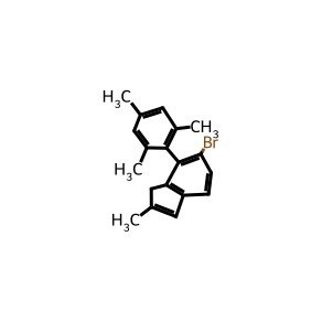 CC1=Cc2ccc(Br)c(-c3c(C)cc(C)cc3C)c2C1